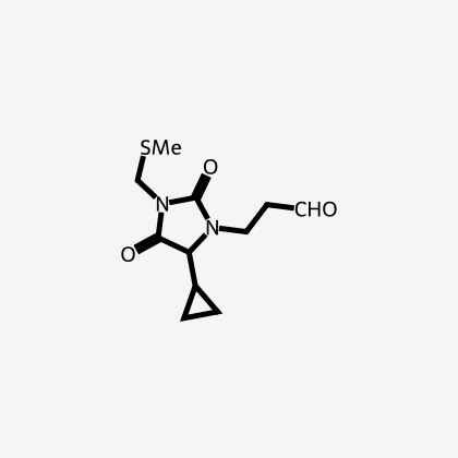 CSCN1C(=O)C(C2CC2)N(CCC=O)C1=O